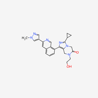 Cn1cc(-c2cc3cccc(-c4nc(C5CC5)n5c4CN(CCO)C(=O)C5)c3cn2)cn1